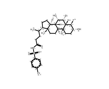 CC[C@H]1[C@@H](O)[C@@H]2[C@H](CC[C@]3(C)[C@@H](C(C)CCC(=O)NS(=O)(=O)c4ccc(C(F)(F)F)cc4)CC[C@@H]23)[C@@]2(C)CC[C@@H](O)[C@H](F)[C@@H]12